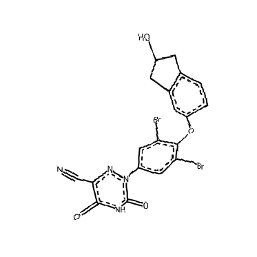 N#Cc1nn(-c2cc(Br)c(Oc3ccc4c(c3)CC(O)C4)c(Br)c2)c(=O)[nH]c1=O